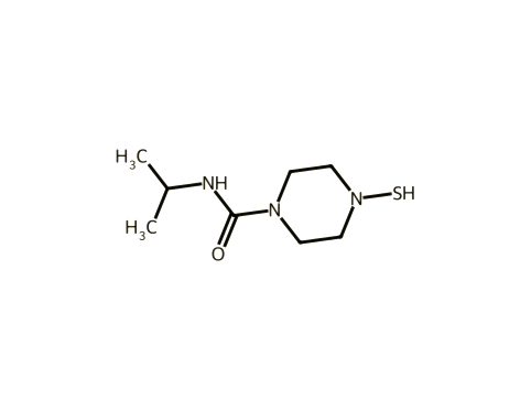 CC(C)NC(=O)N1CCN(S)CC1